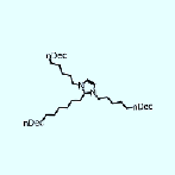 CCCCCCCCCCCCCCCCC1N(CCCCCCCCCCCCCCC)C=CN1CCCCCCCCCCCCCCC